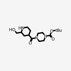 CC(C)(C)OC(=O)N1CCN(C(=O)C2CCNC(CO)C2)CC1